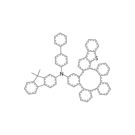 CC1(C)c2ccccc2-c2ccc(N(c3ccc(-c4ccccc4)cc3)c3ccc4c5ccccc5c5ccccc5c5ccccc5c5c(ccc6c7ccccc7sc65)c4c3)cc21